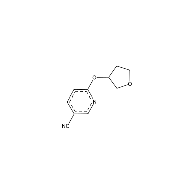 N#Cc1ccc(OC2CCOC2)nc1